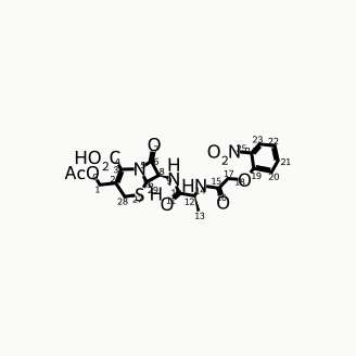 CC(=O)OCC1=C(C(=O)O)N2C(=O)[C@@H](NC(=O)[C@H](C)NC(=O)COc3ccccc3[N+](=O)[O-])[C@H]2SC1